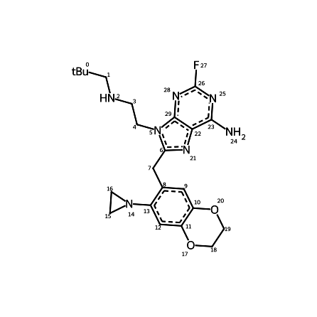 CC(C)(C)CNCCn1c(Cc2cc3c(cc2N2CC2)OCCO3)nc2c(N)nc(F)nc21